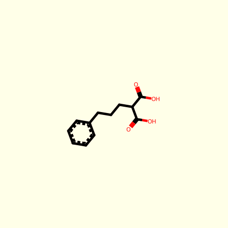 O=C(O)C(CCCc1cc[c]cc1)C(=O)O